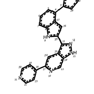 c1csc(-c2cccc3[nH]c(-c4n[nH]c5cnc(-c6ccncc6)cc45)cc23)c1